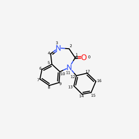 O=C1CN=Cc2ccccc2N1c1ccccc1